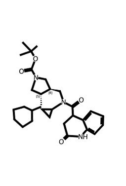 CC(C)(C)OC(=O)N1C[C@@H](CC2CCCCC2)[C@H](CN(C(=O)C2CC(=O)Nc3ccccc32)C2CC2)C1